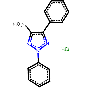 Cl.O=C(O)c1nn(-c2ccccc2)nc1-c1ccccc1